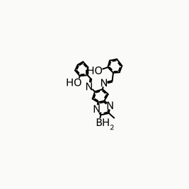 Bc1nc2cc(/N=C/c3ccccc3O)c(/N=C/c3ccccc3O)cc2nc1C